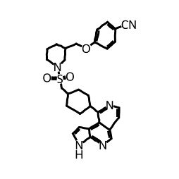 N#Cc1ccc(OCC2CCCN(S(=O)(=O)CC3CCC(c4nccc5cnc6[nH]ccc6c45)CC3)C2)cc1